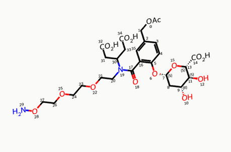 CC(=O)OCc1ccc(O[C@H]2C[C@@H](O)[C@H](O)[C@@H](C(=O)O)O2)c(C(=O)N(CCOCCOCCON)C(CC(=O)O)CC(=O)O)c1